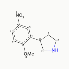 COc1ccc([N+](=O)[O-])cc1C1CCNC1